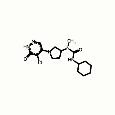 CN(C(=O)NC1CCCCC1)C1CCN(c2cn[nH]c(=O)c2Cl)C1